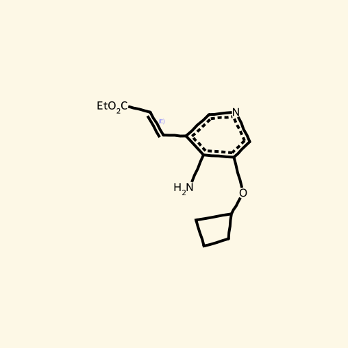 CCOC(=O)/C=C/c1cncc(OC2CCC2)c1N